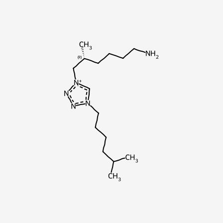 CC(C)CCCCn1c[n+](C[C@H](C)CCCCN)nn1